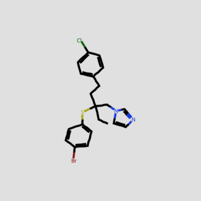 CCC(CCc1ccc(Cl)cc1)(Cn1ccnc1)Sc1ccc(Br)cc1